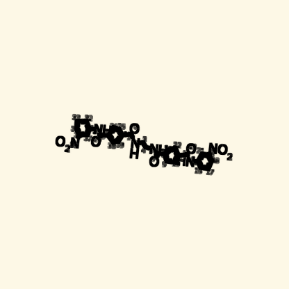 O=C(NCCNC(=O)c1ccc(C(=O)Nc2cccc([N+](=O)[O-])c2)cc1)c1ccc(C(=O)Nc2cccc([N+](=O)[O-])c2)cc1